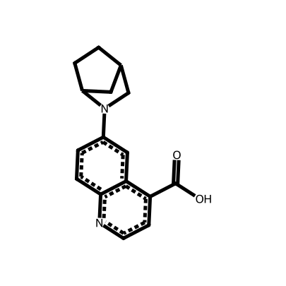 O=C(O)c1ccnc2ccc(N3CC4CCC3C4)cc12